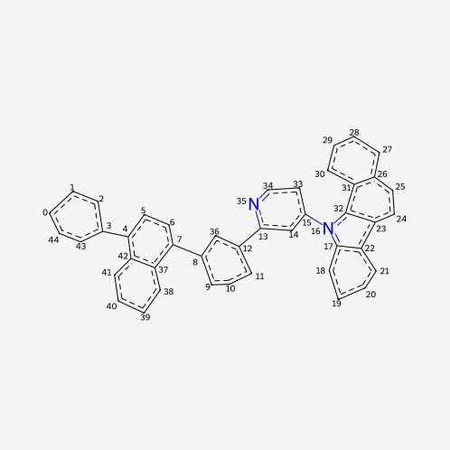 c1ccc(-c2ccc(-c3cccc(-c4cc(-n5c6ccccc6c6ccc7ccccc7c65)ccn4)c3)c3ccccc23)cc1